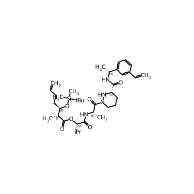 C=CCC[C@@H](O[Si](C)(C)C(C)(C)C)[C@@H](C)C(=O)O[C@H](C(=O)N[C@@H](C)C(=O)N1CCC[C@@H](C(=O)N[C@H](C)c2cccc(C=C)c2)N1)C(C)C